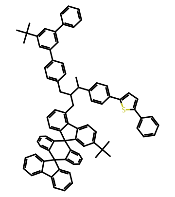 CC(c1ccc(-c2ccc(-c3ccccc3)s2)cc1)C(Cc1ccc(-c2cc(-c3ccccc3)cc(C(C)(C)C)c2)cc1)Cc1cccc2c1-c1ccc(C(C)(C)C)cc1C21c2ccccc2C2(c3ccccc3-c3ccccc32)c2ccccc21